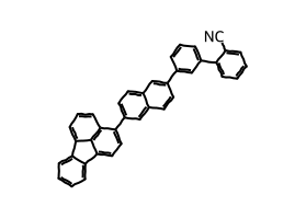 N#Cc1ccccc1-c1cccc(-c2ccc3cc(-c4ccc5c6c(cccc46)-c4ccccc4-5)ccc3c2)c1